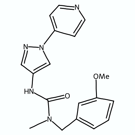 COc1cccc(CN(C)C(=O)Nc2cnn(-c3ccncc3)c2)c1